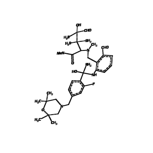 BC(O)(Nc1cccc(C=O)c1CN(C)C(C(=O)NC)C(B)(B)C(B)(O)C=O)c1ccc(CN2CC(C)(C)OC(C)(C)C2)cc1F